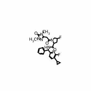 Cn1nc(CC(=O)N2CC(F)CC2C(=O)NC(c2ccccc2)c2ccc(C3CC3)c(F)n2)n(C)c1=O